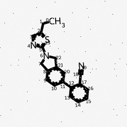 CCc1cnc(N2Cc3ccc(-c4ccccc4C#N)cc3C2)s1